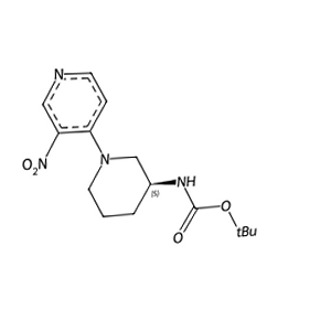 CC(C)(C)OC(=O)N[C@H]1CCCN(c2ccncc2[N+](=O)[O-])C1